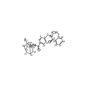 CN(Cc1ccc(C(=O)NC23CC4CC(CC(F)(C4)C2)C3)cc1)C(=O)c1ccccc1